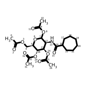 CC(=O)OC[C@H]1OC(OC(C)=O)[C@@H](NC(=O)C2CCCCCC2)[C@@H](OC(C)=O)[C@@H]1OC(C)=O